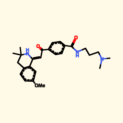 COc1ccc2c(c1)/C(=C/C(=O)c1ccc(C(=O)NCCCN(C)C)cc1)NC(C)(C)C2